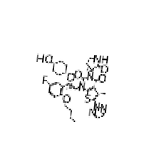 CCCCOc1ccc(F)cc1[C@H](Cn1c(=O)n([C@H]2CCNC2=O)c(=O)c2c(C)c(-n3nccn3)sc21)O[C@H]1CC[C@@H](O)CC1